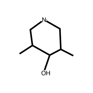 CC1C[N]CC(C)C1O